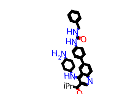 CC(C)C(=O)c1cnc2ccc(-c3ccc(NC(=O)NCc4ccccc4)cc3)cc2c1NC1CCC(N)CC1